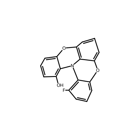 Oc1cccc2c1N1c3c(F)cccc3Oc3cccc(c31)O2